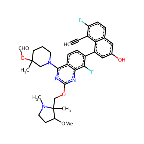 C#Cc1c(F)ccc2cc(O)cc(-c3ccc4c(N5CCCC(C)(OC=O)C5)nc(OCC5(C)C(OC)CCN5C)nc4c3F)c12